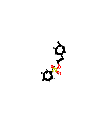 Cc1ccc(C=COS(=O)(=O)c2ccccc2)cc1